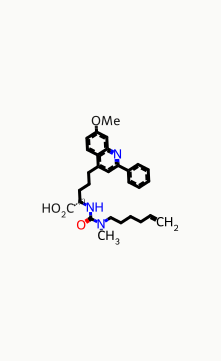 C=CCCCCN(C)C(=O)N[C@@H](CCCc1cc(-c2ccccc2)nc2cc(OC)ccc12)C(=O)O